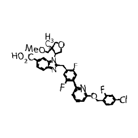 COC[C@]1(C)COCC1n1c(Cc2cc(F)c(-c3cccc(OCc4ccc(Cl)cc4F)n3)cc2F)nc2ccc(C(=O)O)cc21